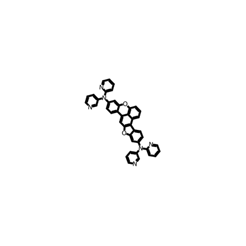 c1ccc(N(c2cccnc2)c2ccc3c(c2)Oc2cccc4c2c-3cc2oc3cc(N(c5cccnc5)c5ccccn5)ccc3c24)nc1